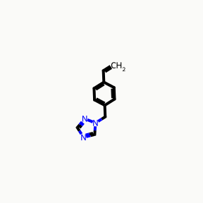 C=Cc1ccc(Cn2cncn2)cc1